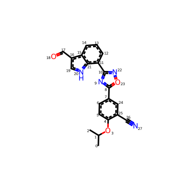 CC(C)Oc1ccc(-c2nc(-c3cccc4c(C=O)c[nH]c34)no2)cc1C#N